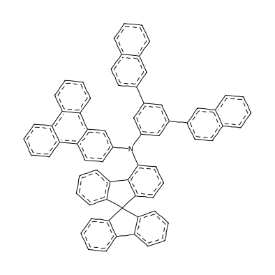 c1ccc2c(c1)-c1ccccc1C21c2ccccc2-c2c(N(c3cc(-c4ccc5ccccc5c4)cc(-c4ccc5ccccc5c4)c3)c3ccc4c5ccccc5c5ccccc5c4c3)cccc21